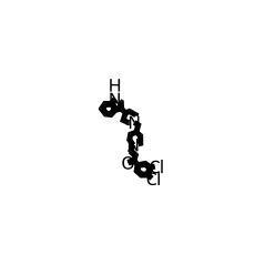 O=C(/C=C/N1CCC(CN2CCC(c3c[nH]c4ccccc34)CC2)CC1)c1ccc(Cl)c(Cl)c1